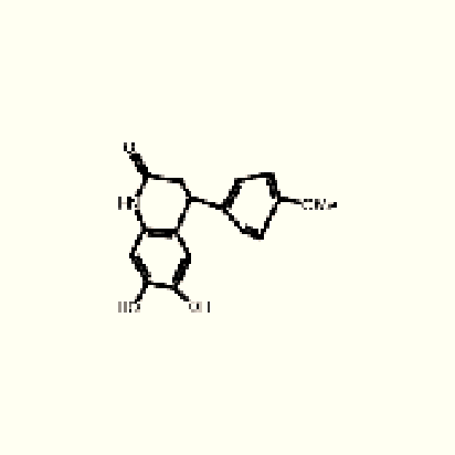 COc1ccc(C2CC(=O)Nc3cc(O)c(O)cc32)cc1